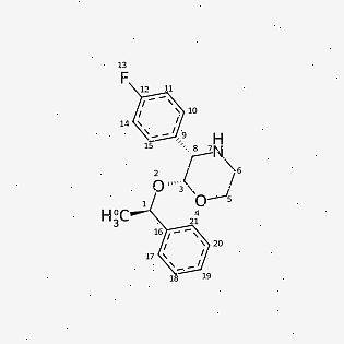 C[C@@H](O[C@H]1OCCN[C@H]1c1ccc(F)cc1)c1ccccc1